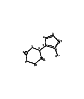 [CH2]c1sccc1C1COCCS1